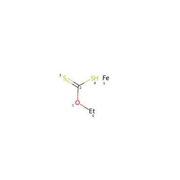 CCOC(=S)S.[Fe]